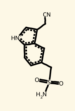 N#CCc1c[nH]c2ccc(CS(N)(=O)=O)cc12